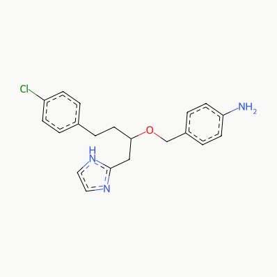 Nc1ccc(COC(CCc2ccc(Cl)cc2)Cc2ncc[nH]2)cc1